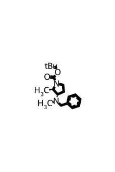 C[C@@H]1[C@@H](N(C)Cc2ccccc2)CCN1C(=O)OC(C)(C)C